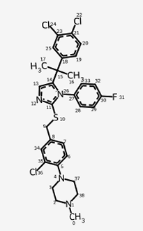 CN1CCN(c2ccc(CSc3ncc(C(C)(C)c4ccc(Cl)c(Cl)c4)n3-c3ccc(F)cc3)cc2Cl)CC1